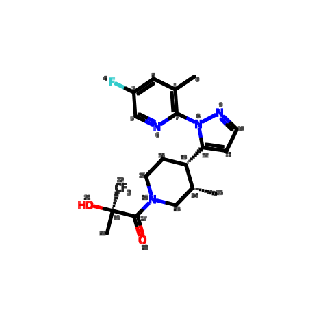 Cc1cc(F)cnc1-n1nccc1[C@H]1CCN(C(=O)[C@@](C)(O)C(F)(F)F)C[C@H]1C